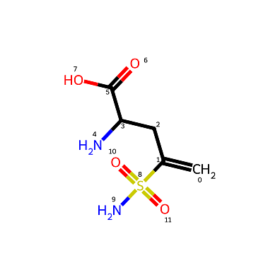 C=C(CC(N)C(=O)O)S(N)(=O)=O